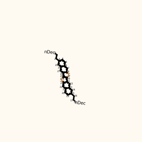 CCCCCCCCCCCCc1ccc2cc3sc4c5cc6cc(CCCCCCCCCCCC)ccc6cc5sc4c3cc2c1